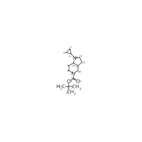 CC(C)(C)OC(=O)N1CCC2C(CCN2C2CC2)C1